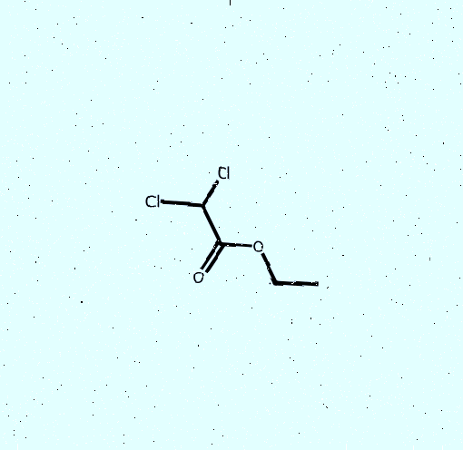 C[CH]OC(=O)C(Cl)Cl